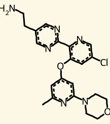 Cc1cc(Oc2cc(Cl)cnc2-c2ncc(CCN)cn2)cc(N2CCOCC2)n1